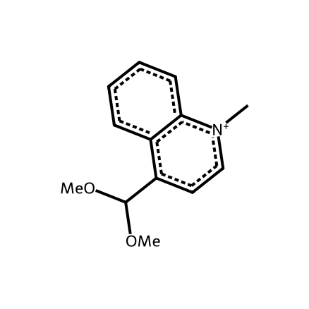 COC(OC)c1cc[n+](C)c2ccccc12